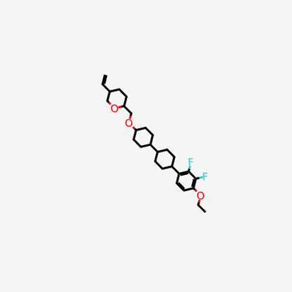 C=CC1CCC(COC2CCC(C3CCC(c4ccc(OCC)c(F)c4F)CC3)CC2)OC1